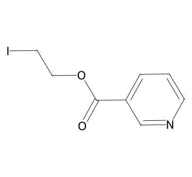 O=C(OCCI)c1cccnc1